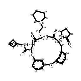 O=C(NC12CC(C1)C2)[C@@H]1Cc2cccc(c2)Oc2cccc(c2)C[C@H](N2CCCC2=O)C(=O)N[C@@H](CCN2CCCCC2)C(=O)N1